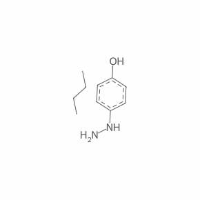 CCCC.NNc1ccc(O)cc1